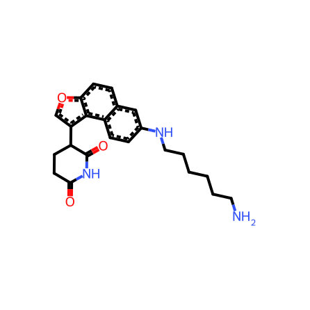 NCCCCCCNc1ccc2c(ccc3occ(C4CCC(=O)NC4=O)c32)c1